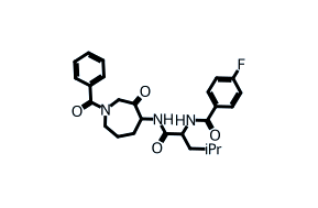 CC(C)CC(NC(=O)c1ccc(F)cc1)C(=O)NC1CCCN(C(=O)c2ccccc2)CC1=O